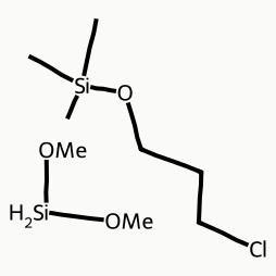 CO[SiH2]OC.C[Si](C)(C)OCCCCl